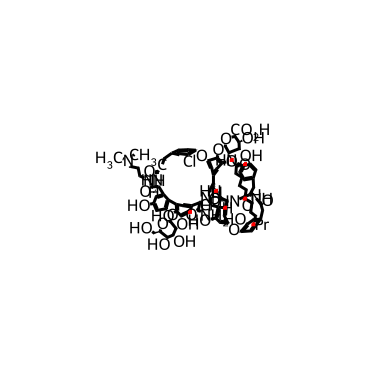 CC(C)CCCCCCCCC(=O)N[C@H]1[C@H](Oc2c3cc4cc2Oc2ccc(cc2Cl)CCC(=O)N[C@H](C(=O)NCCCN(C)C)c2cc(O)cc(O[C@H]5O[C@H](CO)[C@@H](O)[C@H](O)[C@@H]5O)c2-c2cc(ccc2O)[C@H](C(N)=O)NC(=O)[C@@H]4NC(=O)[C@H]2NC(=O)[C@@H](Cc4ccc(cc4)O3)NC(=O)Cc3ccc(c(O)c3)Oc3cc(O)c(Cl)c2c3)O[C@H](C(=O)O)[C@@H](O)[C@@H]1O